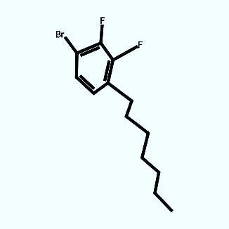 CCCCCCCc1ccc(Br)c(F)c1F